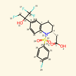 O=C(O)C[C@H]1CCc2cc(C(O)(CF)C(F)(F)F)ccc2N1S(=O)(=O)c1ccc(F)cc1